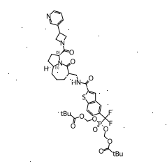 CC(C)(C)C(=O)OCOP(=O)(OCOC(=O)C(C)(C)C)C(F)(F)c1ccc2sc(C(=O)NCC3CCC[C@H]4CC[C@@H](C(=O)N5CC(c6cccnc6)C5)N4C3=O)cc2c1